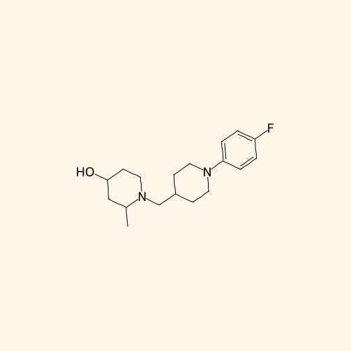 CC1CC(O)CCN1CC1CCN(c2ccc(F)cc2)CC1